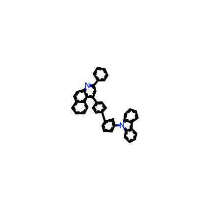 c1ccc(-c2cc(-c3ccc(-c4cccc(-n5c6ccccc6c6ccccc65)c4)cc3)c3c(ccc4ccccc43)n2)cc1